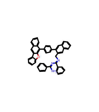 N/C(=N\C(=N/Cc1cc2ccccc2cc1-c1ccc(-c2c3ccccc3cc3c2oc2ccccc23)cc1)c1ccccc1)c1ccccc1